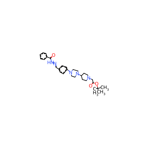 CC(C)(C)OC(=O)CN1CCC(N2CCN(c3ccc(C=NNC(=O)c4ccccc4)cc3)CC2)CC1